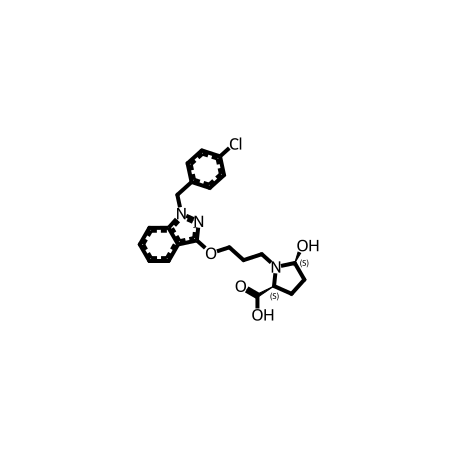 O=C(O)[C@@H]1CC[C@H](O)N1CCCOc1nn(Cc2ccc(Cl)cc2)c2ccccc12